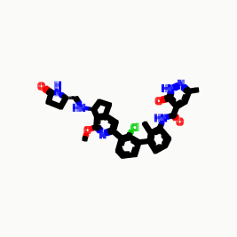 COc1nc(-c2cccc(-c3cccc(NC(=O)c4cc(C)n[nH]c4=O)c3C)c2Cl)cc2c1[C@@H](NC[C@@H]1CCC(=O)N1)CC2